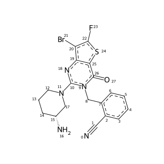 N#Cc1ccccc1Cn1c(N2CCC[C@@H](N)C2)nc2c(Br)c(F)sc2c1=O